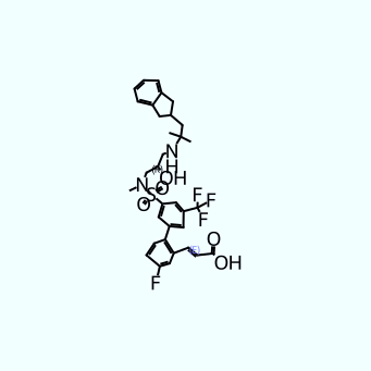 CN(C[C@H](O)CNC(C)(C)CC1Cc2ccccc2C1)S(=O)(=O)c1cc(-c2ccc(F)cc2/C=C/C(=O)O)cc(C(F)(F)F)c1